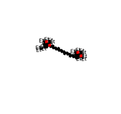 CC[Si](CC)(CC)Oc1ccc(/C=C/C(C)=C/C=C/C(C)=C/C=C/C=C(C)/C=C/C=C(C)/C=C/c2ccc(O[Si](CC)(CC)CC)c(O[Si](CC)(CC)CC)c2O[Si](CC)(CC)CC)c(O[Si](CC)(CC)CC)c1O[Si](CC)(CC)CC